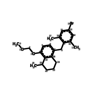 COCOc1ccc(Cc2c(C)cc(Br)cc2C)c2c1C(C)CCC2